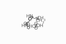 CN(C)CCc1c[nH]c2ccc(C=CS(=O)(=O)NC3CCCC3)cc12.O=C(O)C(=O)O